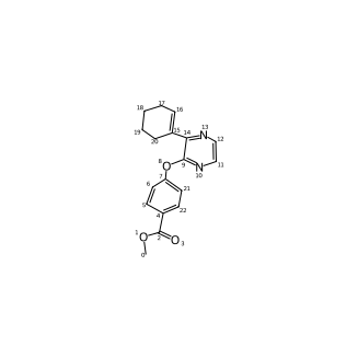 COC(=O)c1ccc(Oc2nccnc2C2=CCCCC2)cc1